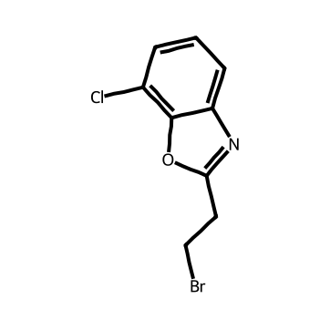 Clc1cccc2nc(CCBr)oc12